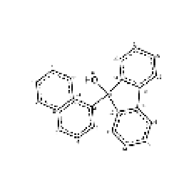 OC1(c2cccc3ccccc23)c2ccccc2-c2ccccc21